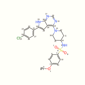 CC(C)Oc1ccc(S(=O)(=O)NC2CCN(c3ncnc4[nH]c(-c5ccc(Cl)cc5)cc34)CC2)cc1